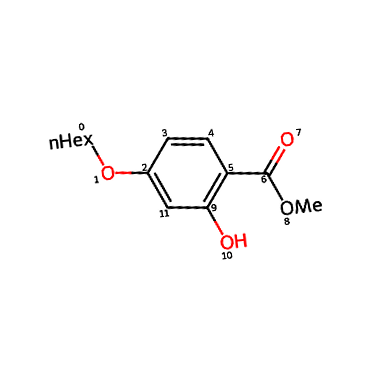 CCCCCCOc1ccc(C(=O)OC)c(O)c1